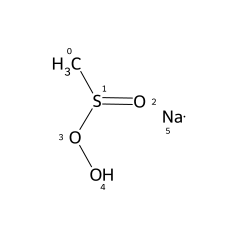 CS(=O)OO.[Na]